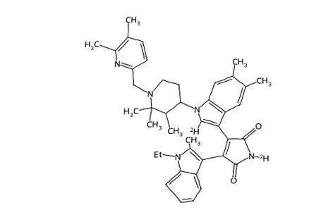 [2H]c1c(C2=C(c3c(C)n(CC)c4ccccc34)C(=O)N([2H])C2=O)c2cc(C)c(C)cc2n1C1CCN(Cc2ccc(C)c(C)n2)C(C)(C)C1C